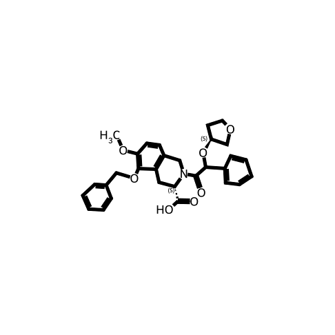 COc1ccc2c(c1OCc1ccccc1)C[C@@H](C(=O)O)N(C(=O)C(O[C@H]1CCOC1)c1ccccc1)C2